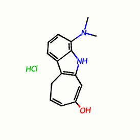 CN(C)c1cccc2c3c([nH]c12)C=C(O)C=CC3.Cl